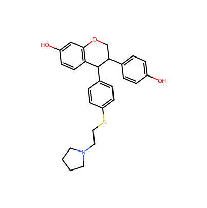 Oc1ccc(C2COc3cc(O)ccc3C2c2ccc(SCCN3CCCC3)cc2)cc1